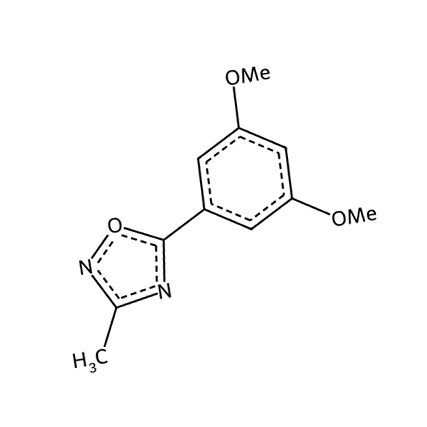 COc1cc(OC)cc(-c2nc(C)no2)c1